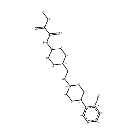 CCC(=O)C(=O)NC1CCC(CCN2CCN(c3ccccc3F)CC2)CC1